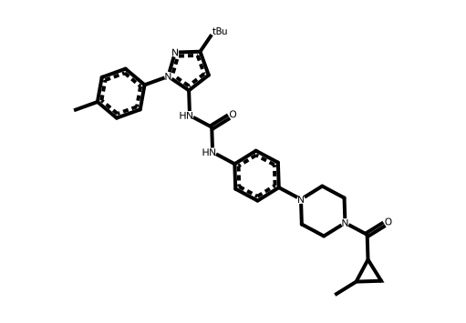 Cc1ccc(-n2nc(C(C)(C)C)cc2NC(=O)Nc2ccc(N3CCN(C(=O)C4CC4C)CC3)cc2)cc1